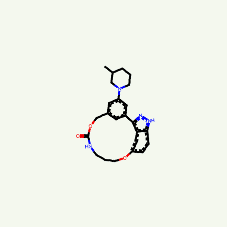 CC1CCCN(c2cc3cc(c2)-c2n[nH]c4ccc(cc24)OCCCNC(=O)OC3)C1